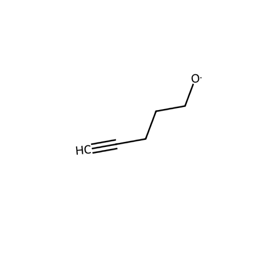 C#CCCC[O]